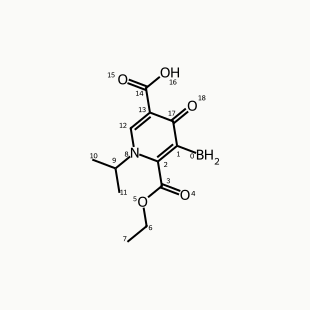 Bc1c(C(=O)OCC)n(C(C)C)cc(C(=O)O)c1=O